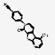 N#Cc1ccc(-n2ccc3c(sc4nccc(O)c43)c2=O)cc1